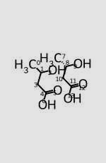 CC(O)CC(=O)O.C[C@H](O)CC(=O)O